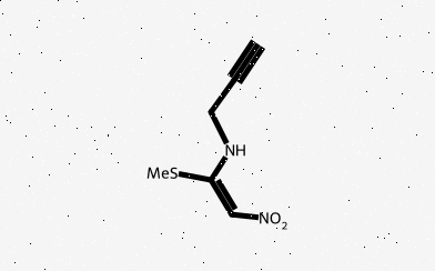 C#CCNC(=C[N+](=O)[O-])SC